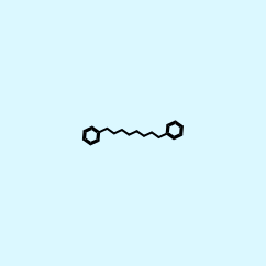 c1ccc(CCCCCCCCc2ccccc2)cc1